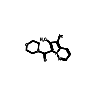 CC(=O)c1c(C)c(C(=O)N2CCOCC2)n2ncccc12